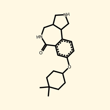 CC1(C)CCC(Oc2ccc3c(c2)C(=O)NCC2CNCC32)CC1